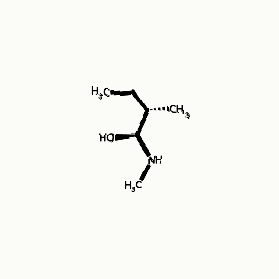 CC[C@H](C)[C@H](O)NC